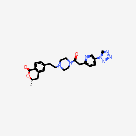 C[C@H]1Cc2cc(CCN3CCN(C(=O)Cc4ccc(-n5cnnn5)cn4)CC3)ccc2C(=O)O1